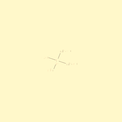 CCCCC[PH](CCC)(CCCC)CCCCC